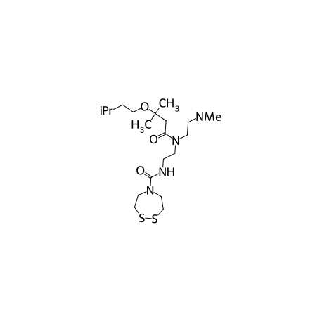 CNCCN(CCNC(=O)N1CCSSCC1)C(=O)CC(C)(C)OCCC(C)C